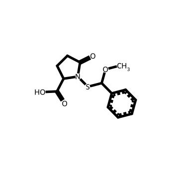 COC(SN1C(=O)CCC1C(=O)O)c1ccccc1